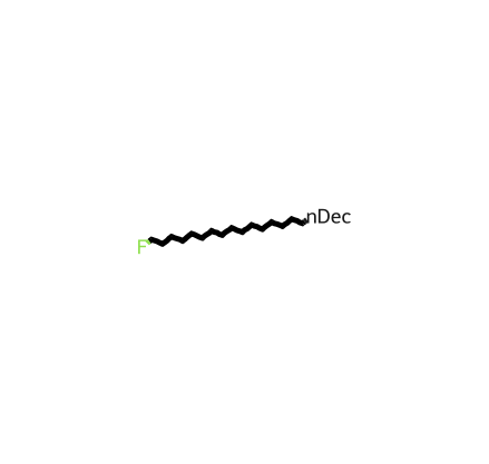 [CH2]CCCCCCCCCCCCCCCCCCCCCCCCCF